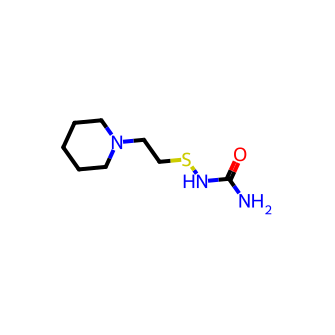 NC(=O)NSCCN1CCCCC1